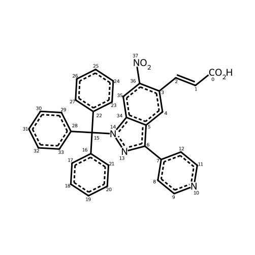 O=C(O)C=Cc1cc2c(-c3ccncc3)nn(C(c3ccccc3)(c3ccccc3)c3ccccc3)c2cc1[N+](=O)[O-]